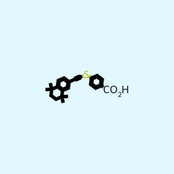 CC1(C)CCC(C)(C)c2cc(C#CSc3ccc(C(=O)O)cc3)ccc21